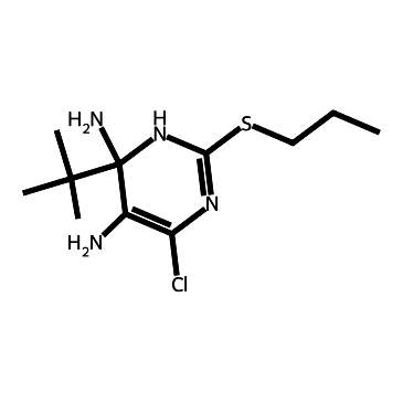 CCCSC1=NC(Cl)=C(N)C(N)(C(C)(C)C)N1